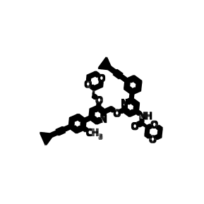 Cc1cc(C#CC2CC2)ccc1-c1cnc(COc2cc(NC(=O)[C@@H]3COCCO3)cc(-c3cccc(C#CC4CC4)c3)n2)c(OC[C@H]2COCCO2)c1